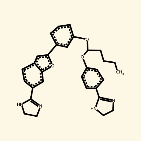 CCCCC(Oc1ccc(C2=NCCN2)cc1)Oc1cccc(-c2cc3ccc(C4=NCCN4)cc3o2)c1